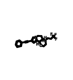 FC(F)(F)CCN1CCO[C@H]2c3cc(C#Cc4ccccc4)cn3CC[C@H]21